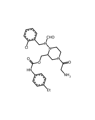 CCc1ccc(NC(=O)OCC2CN(C(=O)CN)CCN2N(C=O)Cc2ccccc2Cl)cc1